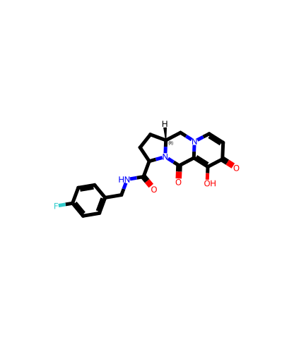 O=C(NCc1ccc(F)cc1)C1CC[C@@H]2Cn3ccc(=O)c(O)c3C(=O)N12